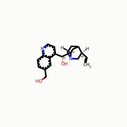 C=C[C@H]1CN2CCC1C[C@H]2[C@H](O)c1ccnc2ccc(CO)cc12